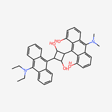 CCN(CC)c1c2ccccc2c(C2C(O)C(c3c4c(O)cccc4c(N(C)C)c4cccc(O)c34)C2O)c2ccccc12